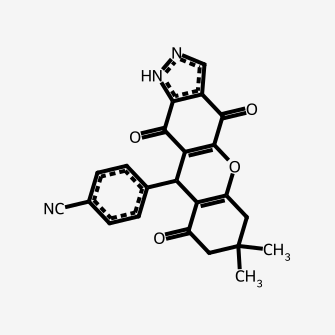 CC1(C)CC(=O)C2=C(C1)OC1=C(C(=O)c3[nH]ncc3C1=O)C2c1ccc(C#N)cc1